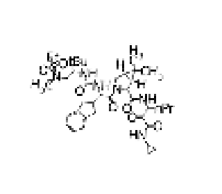 CCCC(NC(=O)[C@@H]1[C@@H]2[C@H](CN1C(=O)[C@@H](NC(=O)N[C@H](CN(C)S(=O)(=O)CC)C(C)(C)C)C1Cc3ccccc3C1)C2(C)C)C(=O)C(=O)NC1CC1